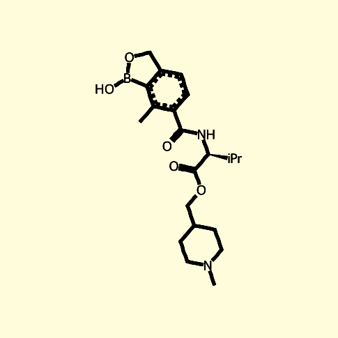 Cc1c(C(=O)N[C@H](C(=O)OCC2CCN(C)CC2)C(C)C)ccc2c1B(O)OC2